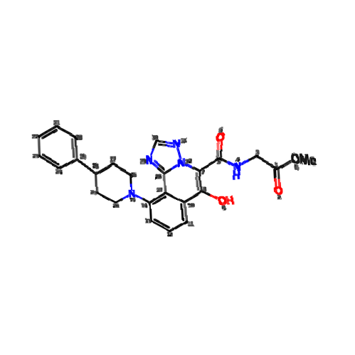 COC(=O)CNC(=O)c1c(O)c2cccc(N3CCC(c4ccccc4)CC3)c2c2ncnn12